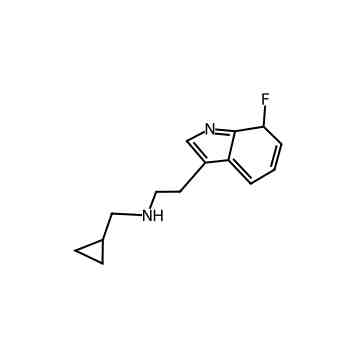 FC1C=CC=C2C(CCNCC3CC3)=CN=C21